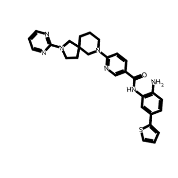 Nc1ccc(-c2cccs2)cc1NC(=O)c1ccc(N2CCCC3(CCN(c4ncccn4)C3)C2)nc1